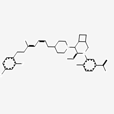 C=C(C)c1ccc(C)c(N2CC3CCC3C(N3CCC(C/C=C\C=C(/C)CCc4ccc(Cl)cc4F)CC3)/C2=C\C)c1